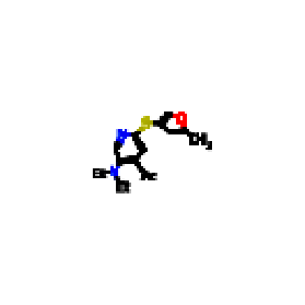 CCN(CC)c1cnc(Sc2coc(C)c2)cc1C(C)=O